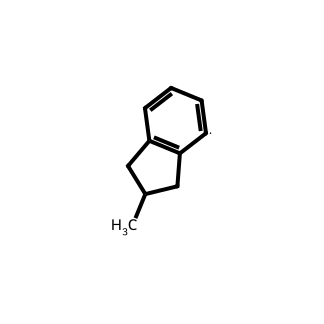 CC1Cc2[c]cccc2C1